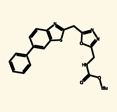 CC(C)(C)OC(=O)NCc1nnc(Cc2nc3ccc(-c4ccccc4)cc3s2)o1